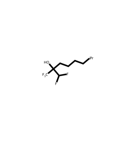 CC(C)CCCCC(O)(C(F)F)C(F)(F)F